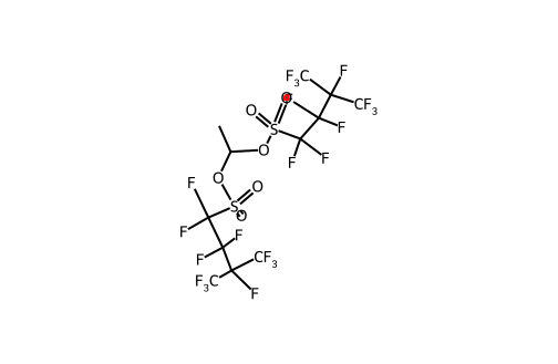 CC(OS(=O)(=O)C(F)(F)C(F)(F)C(F)(C(F)(F)F)C(F)(F)F)OS(=O)(=O)C(F)(F)C(F)(F)C(F)(C(F)(F)F)C(F)(F)F